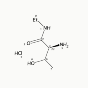 CCNC(=O)[C@@H](N)C(C)O.Cl